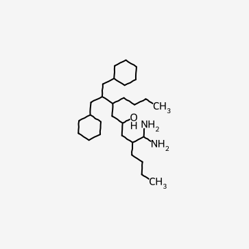 CCCCC(CC(O)CC(CCCC)C(CC1CCCCC1)CC1CCCCC1)C(N)N